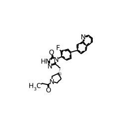 CCC(=O)N1CC[C@@H](Cc2n[nH]c(=O)n2-c2ccc(-c3ccc4cccnc4c3)cc2F)C1